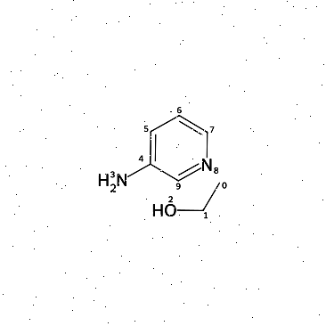 CCO.Nc1cccnc1